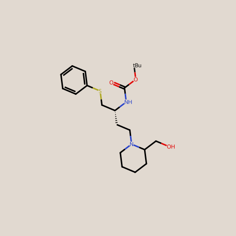 CC(C)(C)OC(=O)N[C@H](CCN1CCCCC1CO)CSc1ccccc1